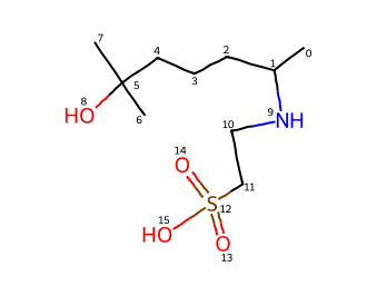 CC(CCCC(C)(C)O)NCCS(=O)(=O)O